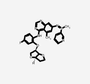 Cc1cc(/N=S(/C)c2cccnc2)cc2ncnc(Nc3ccc(F)cc3O[C@@H]3CO[C@@H]4CCOC43)c12